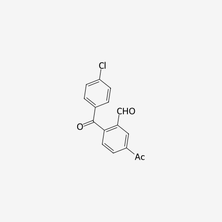 CC(=O)c1ccc(C(=O)c2ccc(Cl)cc2)c(C=O)c1